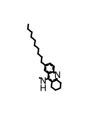 CCCCCCCCCCc1ccc2nc3c(c(NC)c2c1)CCCC3